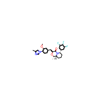 COc1cc(/C=C2\O[C@@H](C)[C@H]3CCC[C@@H](c4cc(F)c(F)c(F)c4)N3C2=O)ccc1-n1cnc(C)c1